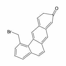 O=C1C=c2cc3ccc4cccc(CBr)c4c3cc2=CC1